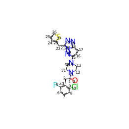 O=C(Cc1c(F)cccc1Cl)N1CCN(c2ccc3nnc(Cc4cccs4)n3n2)CC1